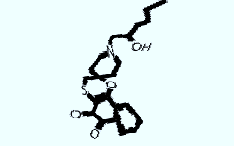 CCCCC(O)CN1CCC2(CC1)CSC1=C(O2)c2ccccc2C(=O)C1=O